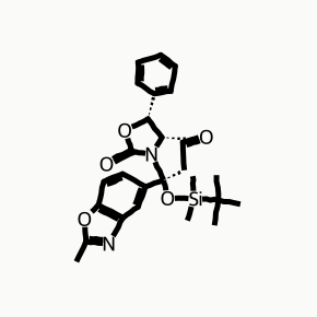 Cc1nc2cc([C@](CC=O)(O[Si](C)(C)C(C)(C)C)N3C(=O)O[C@H](c4ccccc4)[C@@H]3C)ccc2o1